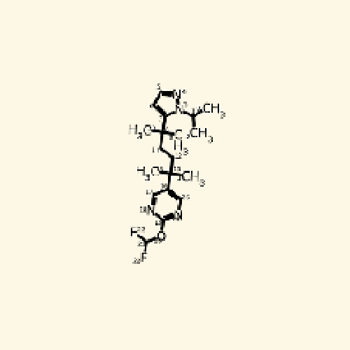 CC(C)n1nccc1C(C)(C)CCC(C)(C)c1cnc(OC(F)F)nc1